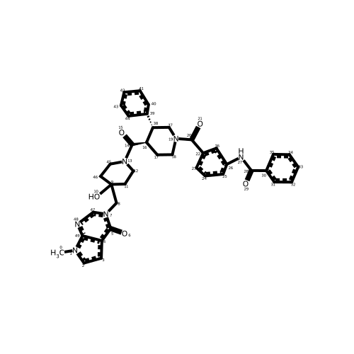 Cn1ccc2c(=O)n(CC3(O)CCN(C(=O)[C@@H]4CCN(C(=O)c5cccc(NC(=O)c6ccccc6)c5)C[C@H]4c4ccccc4)CC3)cnc21